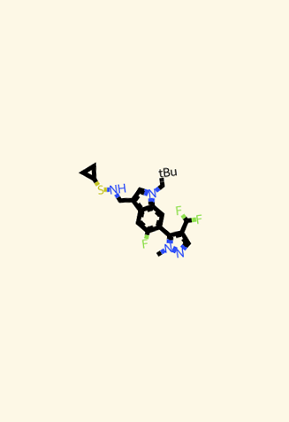 Cn1ncc(C(F)F)c1-c1cc2c(cc1F)c(CNSC1CC1)cn2CC(C)(C)C